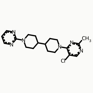 Cc1ncc(Cl)c(N2CCC(C3CCN(c4ncccn4)CC3)CC2)n1